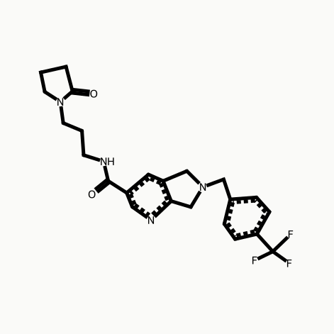 O=C(NCCCN1CCCC1=O)c1cnc2c(c1)CN(Cc1ccc(C(F)(F)F)cc1)C2